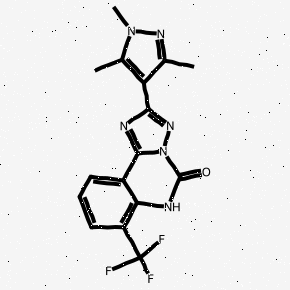 Cc1nn(C)c(C)c1-c1nc2c3cccc(C(F)(F)F)c3[nH]c(=O)n2n1